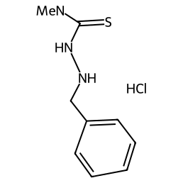 CNC(=S)NNCc1ccccc1.Cl